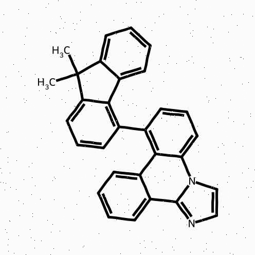 CC1(C)c2ccccc2-c2c(-c3cccc4c3c3ccccc3c3nccn43)cccc21